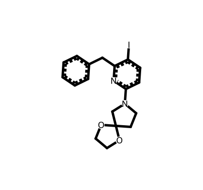 Ic1ccc(N2CCC3(C2)OCCO3)nc1Cc1ccccc1